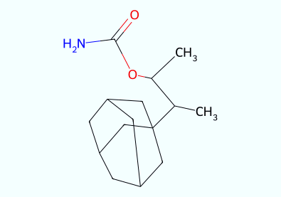 CC(OC(N)=O)C(C)C12CC3CC(CC(C3)C1)C2